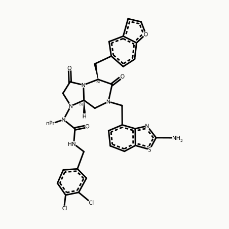 CCCN(C(=O)NCc1ccc(Cl)c(Cl)c1)N1CC(=O)N2[C@@H](Cc3ccc4occc4c3)C(=O)N(Cc3cccc4sc(N)nc34)C[C@@H]21